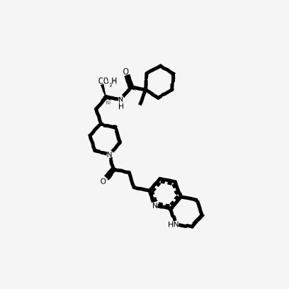 CC1(C(=O)N[C@@H](CC2CCN(C(=O)CCc3ccc4c(n3)NCCC4)CC2)C(=O)O)CCCCC1